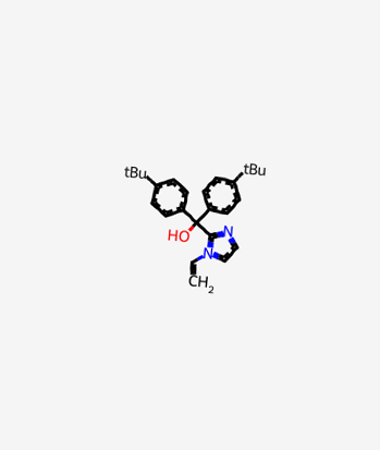 C=Cn1ccnc1C(O)(c1ccc(C(C)(C)C)cc1)c1ccc(C(C)(C)C)cc1